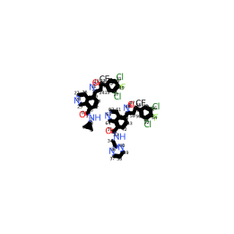 O=C(NC1CC1)c1ccc(C2=NO[C@@](c3cc(Cl)c(F)c(Cl)c3)(C(F)(F)F)C2)c2ccncc12.O=C(NCc1ncccn1)c1ccc(C2=NO[C@@](c3cc(Cl)c(F)c(Cl)c3)(C(F)(F)F)C2)c2ccncc12